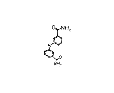 NC(=O)c1cccc(Sc2cccc(C(N)=O)c2)c1